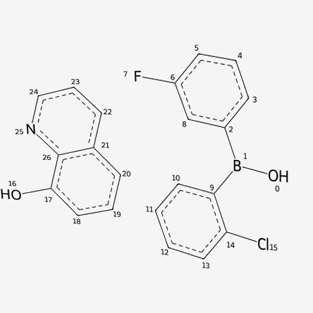 OB(c1cccc(F)c1)c1ccccc1Cl.Oc1cccc2cccnc12